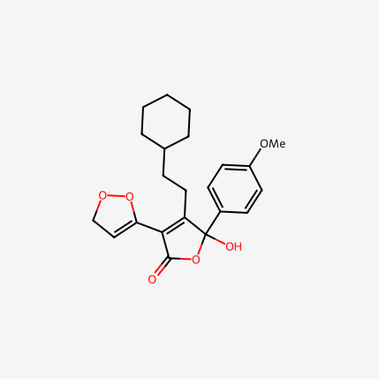 COc1ccc(C2(O)OC(=O)C(C3=CCOO3)=C2CCC2CCCCC2)cc1